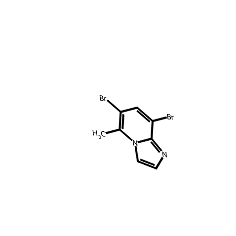 Cc1c(Br)cc(Br)c2nccn12